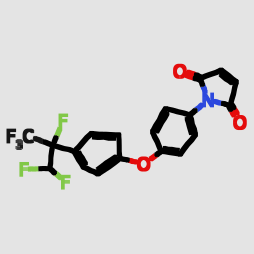 O=C1C=CC(=O)N1c1ccc(Oc2ccc(C(F)(C(F)F)C(F)(F)F)cc2)cc1